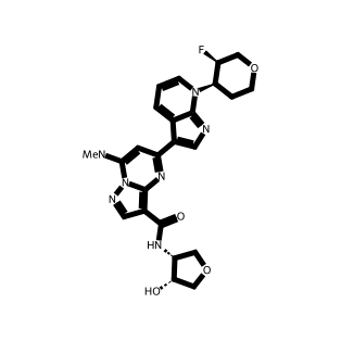 CNc1cc(-c2cnc3n([C@@H]4CCOC[C@@H]4F)cccc2-3)nc2c(C(=O)N[C@@H]3COC[C@@H]3O)cnn12